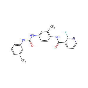 O=C(Nc1cccc(C(F)(F)F)c1)Nc1ccc(NC(=O)c2cccnc2F)c(C(F)(F)F)c1